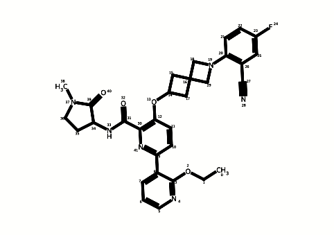 CCOc1ncccc1-c1ccc(OC2CC3(C2)CN(c2ccc(F)cc2C#N)C3)c(C(=O)NC2CCN(C)C2=O)n1